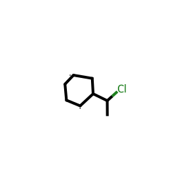 CC(Cl)C1[CH]CC[CH]C1